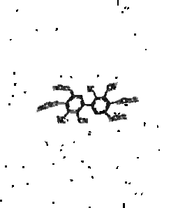 CCCCCCCCc1cc(-c2cc(CCCCCCCC)c(CCCCCCCC)c(C#N)c2C#N)c(C#N)c(C#N)c1CCCCCCCC